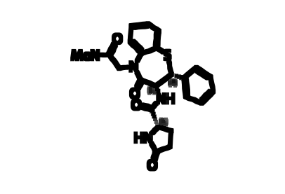 CNC(=O)CN1C(=O)[C@@H](NC(=O)[C@@H]2CCC(=O)N2)[C@@H](c2ccccc2)Sc2ccccc21